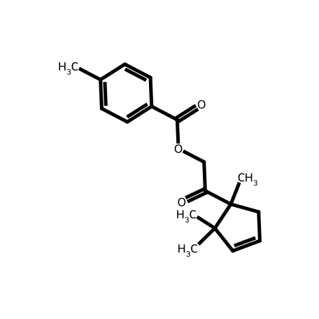 Cc1ccc(C(=O)OCC(=O)C2(C)CC=CC2(C)C)cc1